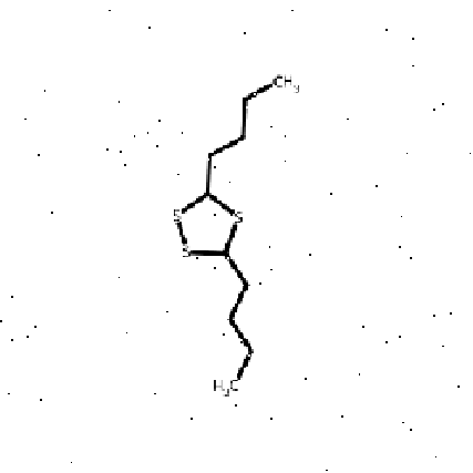 CCCCC1SSC(CCCC)S1